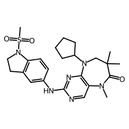 CN1C(=O)C(C)(C)CN(C2CCCC2)c2nc(Nc3ccc4c(c3)CCN4S(C)(=O)=O)ncc21